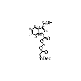 CCCCCCCCCCCC(=O)OCOC(=O)n1cc(CO)c2ccccc21